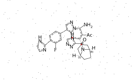 CC(=O)c1c([C@@H]2C[C@H]3CC[C@@H](C2)N3C(=O)c2nnc[nH]2)nc2c(-c3ccc(-c4ncc[nH]4)c(F)c3)cnn2c1N